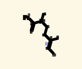 C=C(C(C)C)N(C)CC/C(C)=C/C